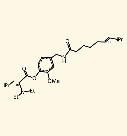 CCN(CC)[C@H](CC(C)C)C(=O)Oc1ccc(CNC(=O)CCCC/C=C/C(C)C)cc1OC